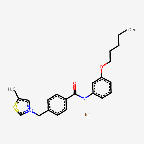 CCCCCCCCCCCCCCOc1cccc(NC(=O)c2ccc(C[n+]3csc(C)c3)cc2)c1.[Br-]